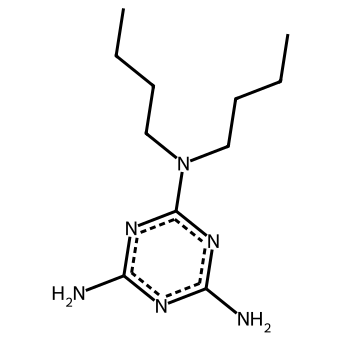 CCCCN(CCCC)c1nc(N)nc(N)n1